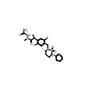 CC(C(=O)N(C)NC(N)=O)c1cc(F)c(CN2[C@@H](C)CC[C@H](c3ccccc3)S2(=O)=O)cc1F